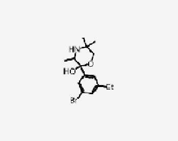 CCc1cc(Br)cc(C2(O)OCC(C)(C)NC2C)c1